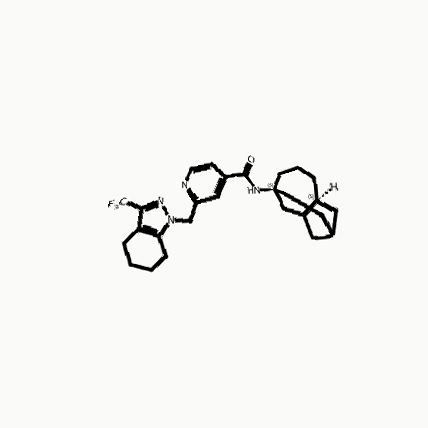 O=C(N[C@]12CCC[C@H]3CC(CC3C1)C2)c1ccnc(Cn2nc(C(F)(F)F)c3c2CCCC3)c1